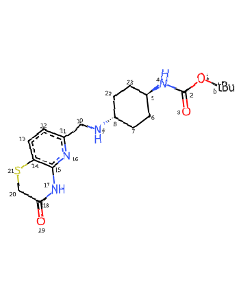 CC(C)(C)OC(=O)N[C@H]1CC[C@H](NCc2ccc3c(n2)NC(=O)CS3)CC1